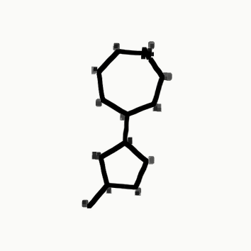 CC1CCC(C2CCC[N]CC2)C1